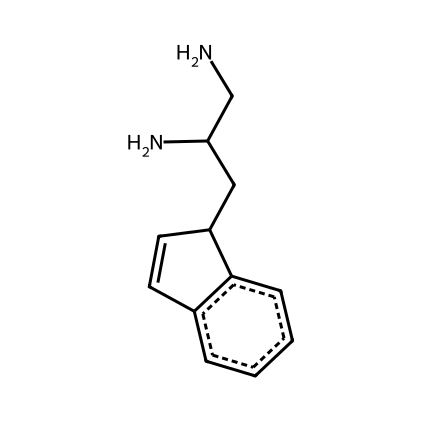 NCC(N)CC1C=Cc2ccccc21